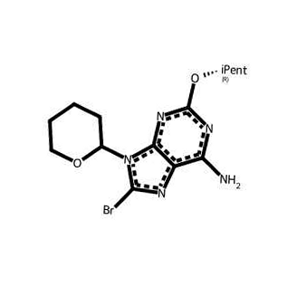 CCC[C@@H](C)Oc1nc(N)c2nc(Br)n(C3CCCCO3)c2n1